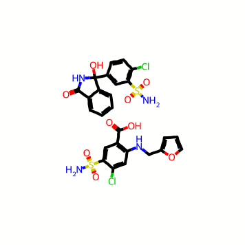 NS(=O)(=O)c1cc(C(=O)O)c(NCc2ccco2)cc1Cl.NS(=O)(=O)c1cc(C2(O)NC(=O)c3ccccc32)ccc1Cl